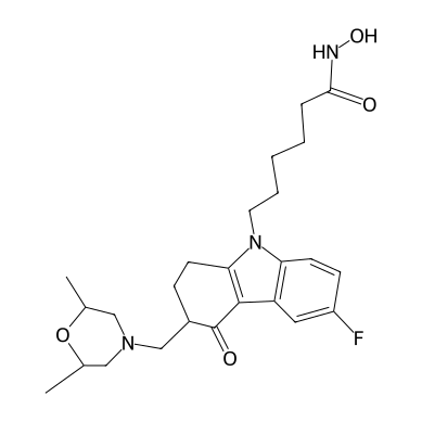 CC1CN(CC2CCc3c(c4cc(F)ccc4n3CCCCCC(=O)NO)C2=O)CC(C)O1